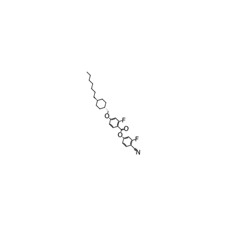 CCCCCCC[C@H]1CC[C@H](COc2ccc(C(=O)Oc3ccc(C#N)c(F)c3)c(F)c2)CC1